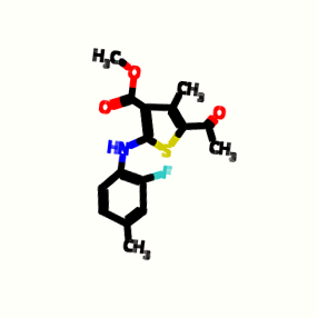 COC(=O)c1c(Nc2ccc(C)cc2F)sc(C(C)=O)c1C